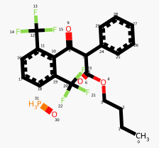 CCCCOC(=O)C(C(=O)c1c(C(F)(F)F)cccc1C(F)(F)F)c1ccccc1.O=[PH3]